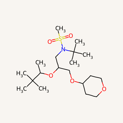 CC(OC(COC1CCOCC1)CN(C(C)(C)C)S(C)(=O)=O)C(C)(C)C